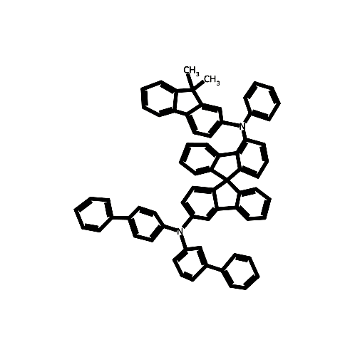 CC1(C)c2ccccc2-c2ccc(N(c3ccccc3)c3cccc4c3-c3ccccc3C43c4ccccc4-c4cc(N(c5ccc(-c6ccccc6)cc5)c5cccc(-c6ccccc6)c5)ccc43)cc21